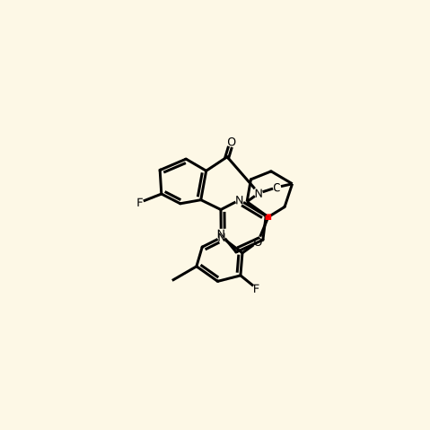 Cc1cnc(OC2CC3CCC2N(C(=O)c2ccc(F)cc2-c2ncccn2)C3)c(F)c1